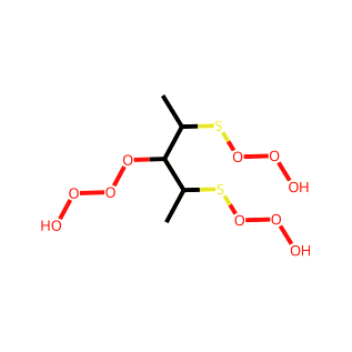 CC(SOOO)C(OOOO)C(C)SOOO